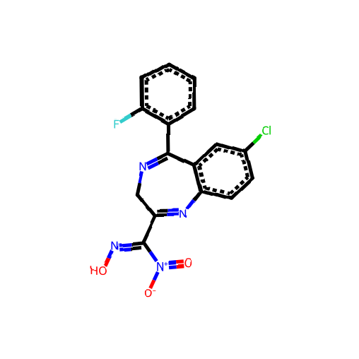 O=[N+]([O-])C(=NO)C1=Nc2ccc(Cl)cc2C(c2ccccc2F)=NC1